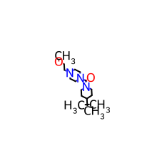 COCCN1CCN(C(=O)N2CCC(C(C)(C)C)CC2)CC1